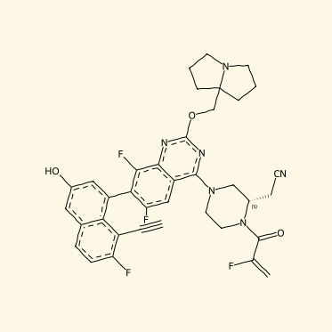 C#Cc1c(F)ccc2cc(O)cc(-c3c(F)cc4c(N5CCN(C(=O)C(=C)F)[C@@H](CC#N)C5)nc(OCC56CCCN5CCC6)nc4c3F)c12